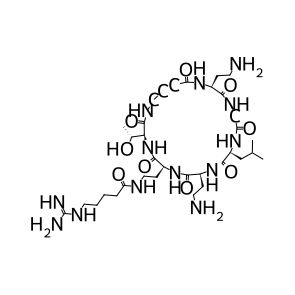 CC(C)C[C@@H]1NC(=O)CNC(=O)[C@H](CCN)NC(=O)CCCNC(=O)[C@H]([C@@H](C)O)NC(=O)[C@H](CCNC(=O)CCCCNC(=N)N)NC(=O)[C@H](CCN)NC1=O